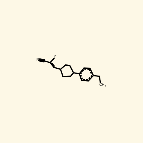 CCc1ccc(C2CCC(C=C(F)C#N)CC2)cc1